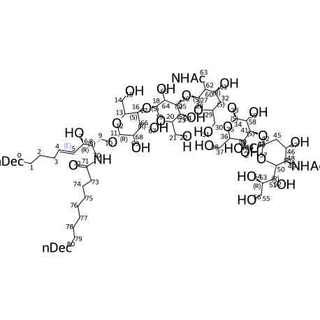 CCCCCCCCCCCCC/C=C/[C@@H](O)[C@H](CO[C@@H]1OC(CO)[C@@H](O[C@@H]2OC(CO)[C@H](O)[C@H](O[C@@H]3OC(CO)[C@@H](O[C@@H]4OC(CO)[C@H](O)[C@H](O[C@]5(C(=O)O)CC(O)[C@@H](NC(C)=O)C([C@H](O)[C@H](O)CO)O5)C4O)[C@H](O)C3NC(C)=O)C2O)[C@H](O)C1O)NC(=O)CCCCCCCCCCCCCCCCC